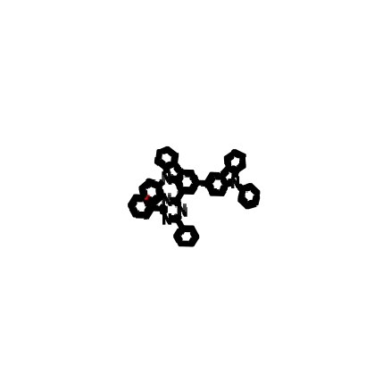 c1ccc(-c2nc(-c3ccccc3)nc(-c3cc(-c4ccc5c(c4)c4ccccc4n5-c4ccccc4)cc4c5ccccc5n(-c5ccccc5)c34)n2)cc1